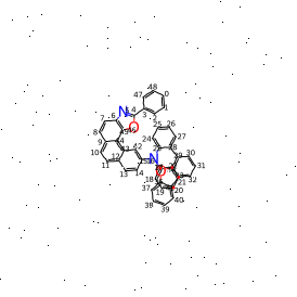 c1ccc(-c2nc3ccc4ccc5ccc(N(c6ccccc6)c6ccccc6-c6cccc7c6oc6ccccc67)cc5c4c3o2)cc1